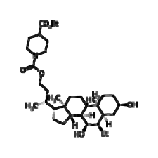 CCOC(=O)C1CCN(C(=O)OCC[C@@H](C)[C@H]2CC[C@H]3[C@@H]4[C@H](O)[C@H](CC)[C@@H]5C[C@H](O)CC[C@]5(C)[C@H]4CC[C@]23C)CC1